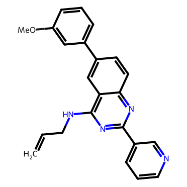 C=CCNc1nc(-c2cccnc2)nc2ccc(-c3cccc(OC)c3)cc12